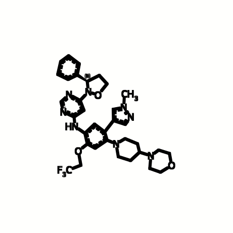 Cn1cc(-c2cc(Nc3cc(N4OCC[C@@H]4c4ccccc4)ncn3)c(OCC(F)(F)F)cc2N2CCC(N3CCOCC3)CC2)cn1